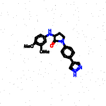 COc1ccc(NC2CCN(c3ccc(-c4cn[nH]c4)cc3)C2=O)cc1OC